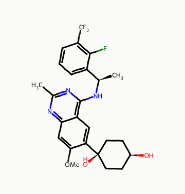 COc1cc2nc(C)nc(N[C@H](C)c3cccc(C(F)(F)F)c3F)c2cc1[C@]1(O)CC[C@@H](O)CC1